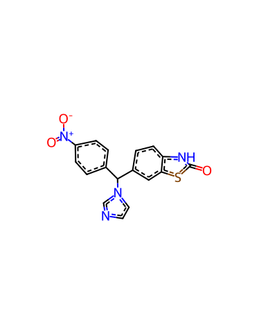 O=c1[nH]c2ccc(C(c3ccc([N+](=O)[O-])cc3)n3ccnc3)cc2s1